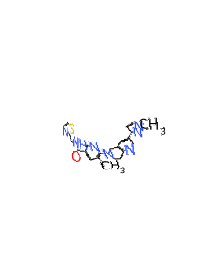 Cc1cc(C(=O)NCc2nccs2)cnc1N1CCc2ncc(-c3ccn(C)n3)cc2C1